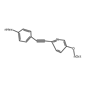 CCCCCCCCOc1ccc(C#Cc2ccc(CCCCCC)cc2)nc1